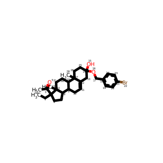 CCC1(C(C)=O)CCC2C3CC=C4CC(O)(OCc5ccc(Br)cc5)CCC4(C)C3CCC21C